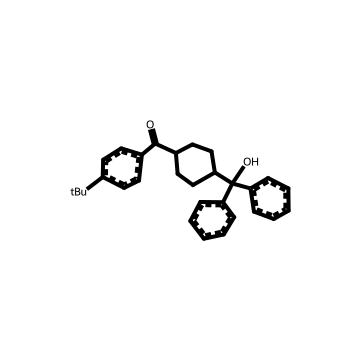 CC(C)(C)c1ccc(C(=O)C2CCC(C(O)(c3ccccc3)c3ccccc3)CC2)cc1